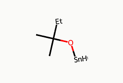 CCC(C)(C)[O][SnH]